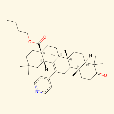 CCCCOC(=O)[C@]12CCC(C)(C)C[C@H]1C1=C(c3ccncc3)CC3[C@@]4(C)CCC(=O)C(C)(C)[C@@H]4CC[C@@]3(C)[C@]1(C)CC2